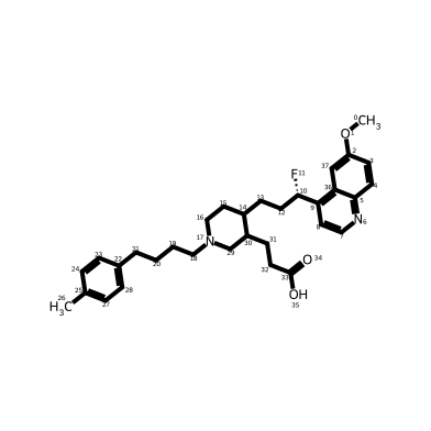 COc1ccc2nccc([C@@H](F)CCC3CCN(CCCCc4ccc(C)cc4)CC3CCC(=O)O)c2c1